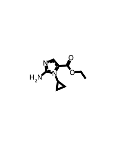 CCOC(=O)c1cnc(N)n1C1CC1